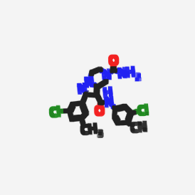 Cc1cc(Cl)cc(-c2nn3c(c2C(=O)Nc2ccc(C#N)c(Cl)c2)CN(C(N)=O)CC3)c1